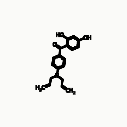 C=CCN(CC=C)c1ccc(C(=O)c2ccc(O)cc2O)cc1